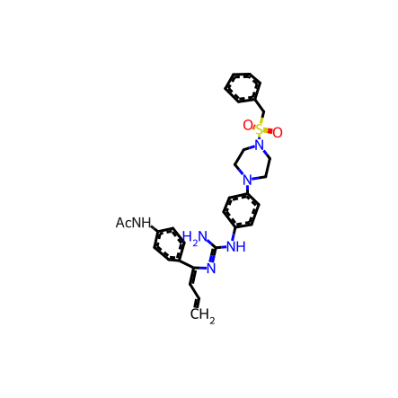 C=C/C=C(\N=C(/N)Nc1ccc(N2CCN(S(=O)(=O)Cc3ccccc3)CC2)cc1)c1ccc(NC(C)=O)cc1